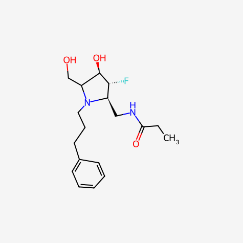 CCC(=O)NC[C@@H]1[C@@H](F)[C@H](O)C(CO)N1CCCc1ccccc1